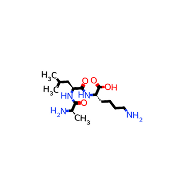 CC(C)C[C@H](NC(=O)[C@H](C)N)C(=O)N[C@@H](CCCCN)C(=O)O